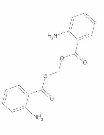 Nc1ccccc1C(=O)OCOC(=O)c1ccccc1N